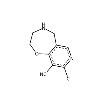 N#Cc1c(Cl)ncc2c1OCCNC2